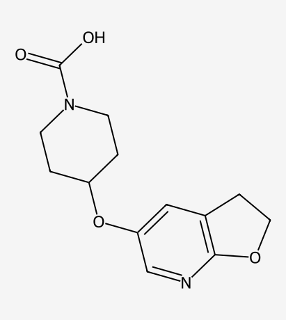 O=C(O)N1CCC(Oc2cnc3c(c2)CCO3)CC1